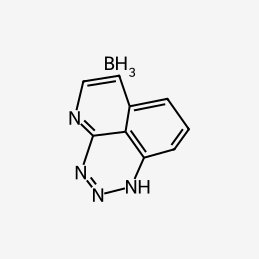 B.c1cc2c3c(nccc3c1)N=NN2